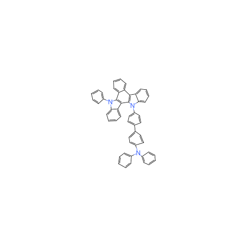 c1ccc(N(c2ccccc2)c2ccc(-c3ccc(-n4c5ccccc5c5c6ccccc6c6c(c7ccccc7n6-c6ccccc6)c54)cc3)cc2)cc1